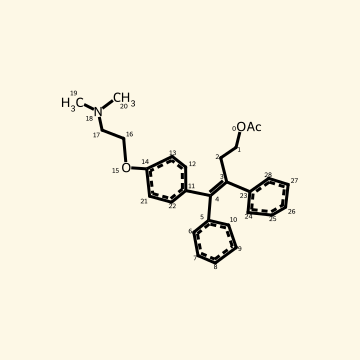 CC(=O)OCCC(=C(c1ccccc1)c1ccc(OCCN(C)C)cc1)c1ccccc1